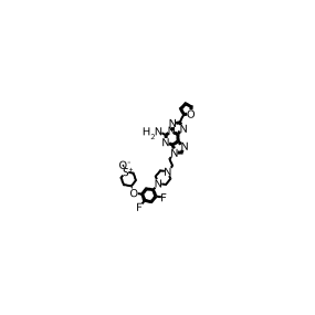 Nc1nc2c(ncn2CCN2CCN(c3cc(O[C@H]4CC[S@+]([O-])CC4)c(F)cc3F)CC2)c2nc(-c3ccco3)nn12